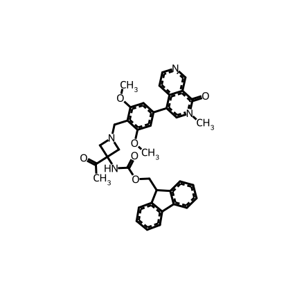 COc1cc(-c2cn(C)c(=O)c3cnccc23)cc(OC)c1CN1CC(NC(=O)OCC2c3ccccc3-c3ccccc32)(C(C)=O)C1